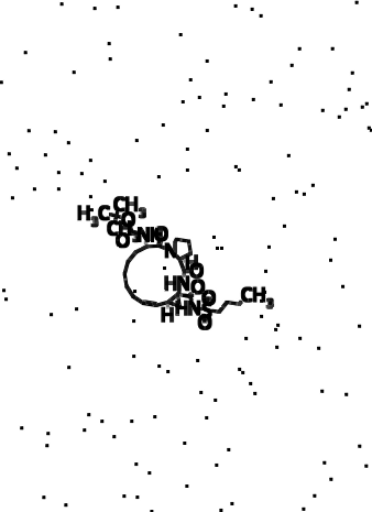 CCCCS(=O)(=O)NC(=O)[C@@]12C[C@H]1/C=C\CCCCC[C@H](NC(=O)OC(C)(C)C)C(=O)N1CCC[C@H]1C(=O)N2